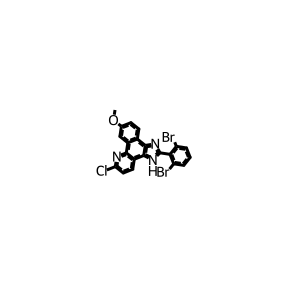 COc1ccc2c(c1)c1nc(Cl)ccc1c1[nH]c(-c3c(Br)cccc3Br)nc21